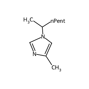 CCCCCC(C)n1cnc(C)c1